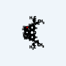 CCN(CC)c1ccc2c(c1)Oc1cc(N(CC)CC)ccc1C21c2ccccc2-c2snnc21